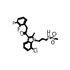 Cc1c(C(=O)Cc2cccc(F)c2F)c2cccc(Cl)c2n1CCCNS(C)(=O)=O